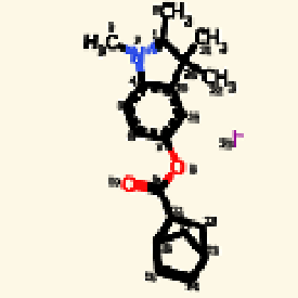 CC1=[N+](C)c2ccc(OC(=O)C3CC4C=CC3C4)cc2C1(C)C.[I-]